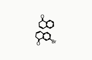 O=C1CC=Cc2ccc(Br)cc21.O=C1CC=Cc2ccccc21